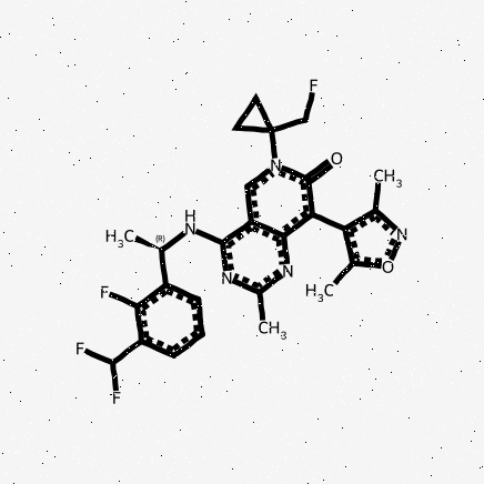 Cc1nc(N[C@H](C)c2cccc(C(F)F)c2F)c2cn(C3(CF)CC3)c(=O)c(-c3c(C)noc3C)c2n1